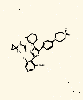 COc1cncc(F)c1-c1nc([C@@H]2CCCC[C@H]2C(=O)NC2(C#N)CC2)c(-c2ccc(N3CCS(=O)(=O)CC3)cc2)s1